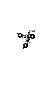 COCN1C(=O)C(CC(=O)Nc2ccc(C)cc2)(NC(=O)Nc2ccc(C)cc2)c2ccccc21